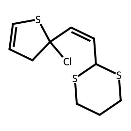 ClC1(/C=C\C2SCCCS2)CC=CS1